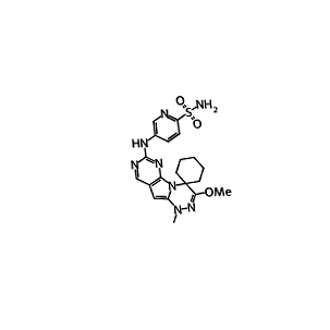 COC1=NN(C)c2cc3cnc(Nc4ccc(S(N)(=O)=O)nc4)nc3n2C12CCCCC2